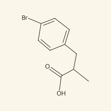 CC(Cc1ccc(Br)cc1)C(=O)O